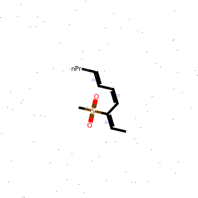 C\C=C(/C=C\C=C\CCC)S(C)(=O)=O